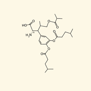 CC(C)CCC(=O)Oc1ccc(C(C(C)COC(=O)C(C)C)[C@H](N)C(=O)O)cc1OC(=O)CCC(C)C